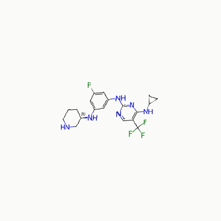 Fc1cc(Nc2ncc(C(F)(F)F)c(NC3CC3)n2)cc(N[C@@H]2CCCNC2)c1